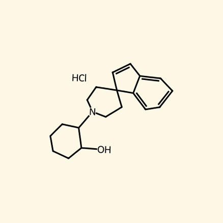 Cl.OC1CCCCC1N1CCC2(C=Cc3ccccc32)CC1